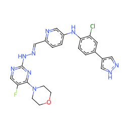 Fc1cnc(N/N=C/c2ccc(Nc3ccc(-c4cn[nH]c4)cc3Cl)cn2)nc1N1CCOCC1